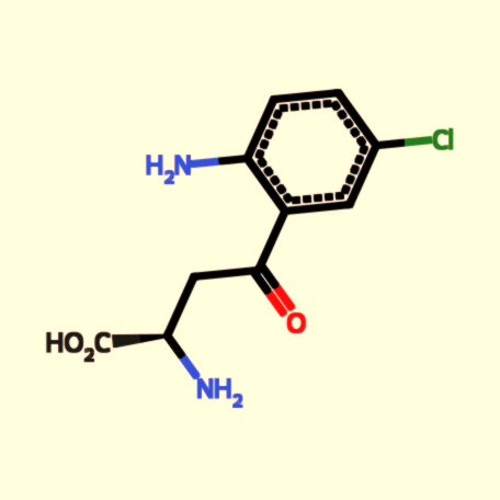 Nc1ccc(Cl)cc1C(=O)C[C@@H](N)C(=O)O